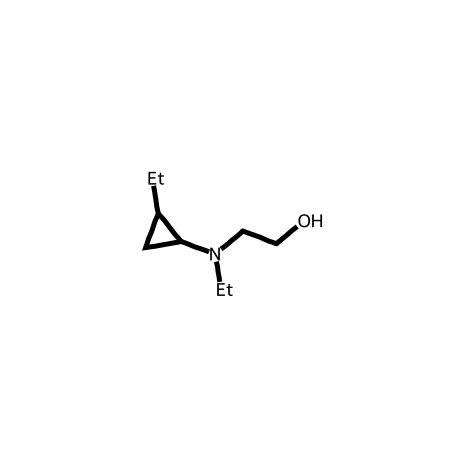 CCC1CC1N(CC)CCO